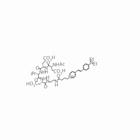 CCN(CC)c1ccc(C=Cc2cc[n+](CCCC(=O)NCCNC(=O)[C@@H](CC(=O)O)NC(=O)[C@H](NC(=O)[C@@H](CCC(=O)O)NC(=O)[C@@H](CC(=O)O)NC(C)=O)C(C)C)cc2)cc1